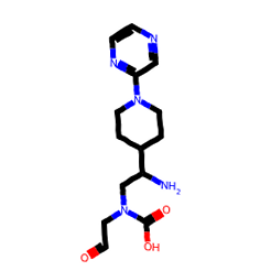 NC(CN(CC=O)C(=O)O)C1CCN(c2cnccn2)CC1